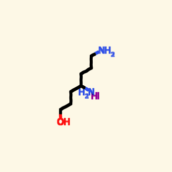 I.NCCCC(N)CCCO